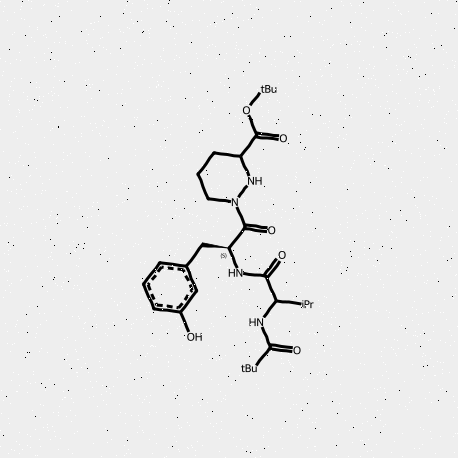 CC(C)C(NC(=O)C(C)(C)C)C(=O)N[C@@H](Cc1cccc(O)c1)C(=O)N1CCCC(C(=O)OC(C)(C)C)N1